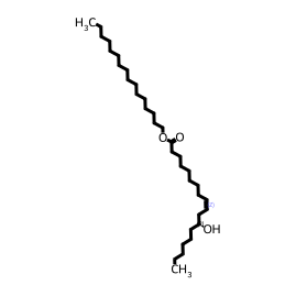 CCCCCCCCCCCCCCCCOC(=O)CCCCCCC/C=C\C[C@H](O)CCCCCC